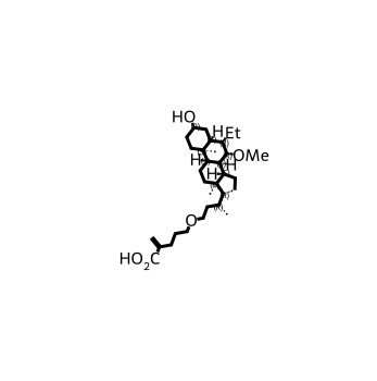 C=C(CCCOCC[C@@H](C)[C@H]1CC[C@H]2[C@@H]3[C@H](OC)[C@H](CC)[C@@H]4C[C@H](O)CC[C@]4(C)[C@H]3CC[C@]12C)C(=O)O